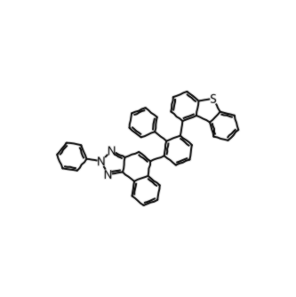 c1ccc(-c2c(-c3cc4nn(-c5ccccc5)nc4c4ccccc34)cccc2-c2cccc3sc4ccccc4c23)cc1